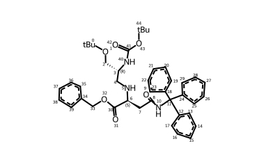 CC(C)(C)OC[C@@H](CN[C@@H](CC(=O)NC(c1ccccc1)(c1ccccc1)c1ccccc1)C(=O)OCc1ccccc1)NC(=O)OC(C)(C)C